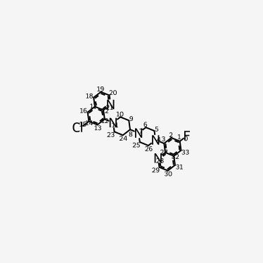 Fc1cc(N2CCN(C3CCN(c4cc(Cl)cc5cccnc45)CC3)CC2)c2ncccc2c1